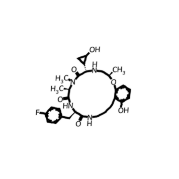 C[C@@H]1CN[C@@H](C2CC2O)C(=O)N(C)[C@H](C)C(=O)N[C@H](Cc2ccc(F)cc2)C(=O)NCCCc2c(O)cccc2O1